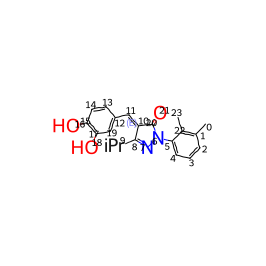 Cc1cccc(N2N=C(C(C)C)/C(=C\c3ccc(O)c(O)c3)C2=O)c1C